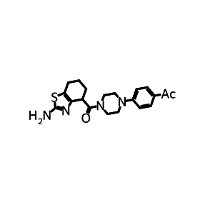 CC(=O)c1ccc(N2CCN(C(=O)C3CCCc4sc(N)nc43)CC2)cc1